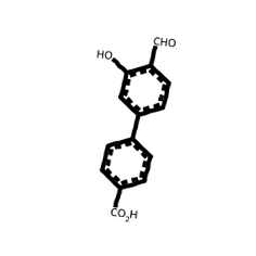 O=Cc1ccc(-c2ccc(C(=O)O)cc2)cc1O